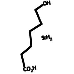 O=C(O)CCCCCO.[SrH2]